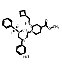 COC(=O)C1CCN(CC[C@@H](CN(C)S(=O)(=O)c2ccccc2)c2ccccc2)[C@H](NCC2CCC2)C1.Cl